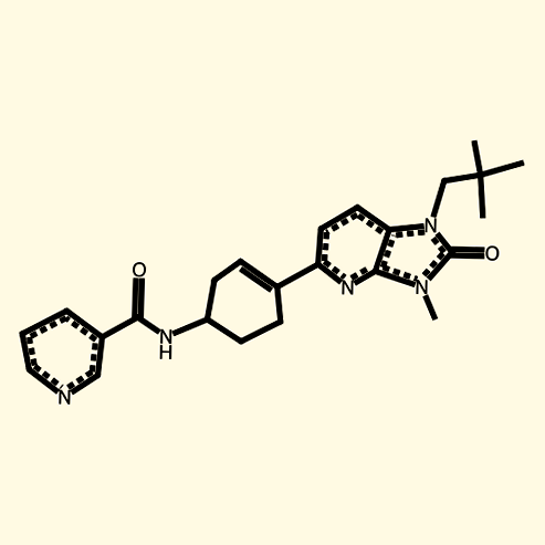 Cn1c(=O)n(CC(C)(C)C)c2ccc(C3=CCC(NC(=O)c4cccnc4)CC3)nc21